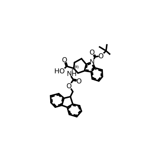 CC(C)(C)OC(=O)n1c2c(c3ccccc31)C[C@@](NC(=O)OCC1c3ccccc3-c3ccccc31)(C(=O)O)CC2